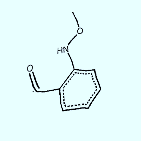 CONc1ccccc1[C]=O